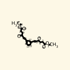 CCOC(=O)CCC(=O)C#Cc1cccc(C#CC(=O)CCC(=O)OCC)c1